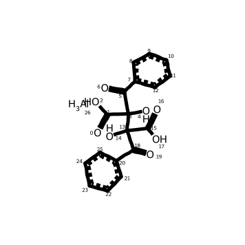 O=C(O)C(O)(C(=O)c1ccccc1)C(O)(C(=O)O)C(=O)c1ccccc1.[AlH3]